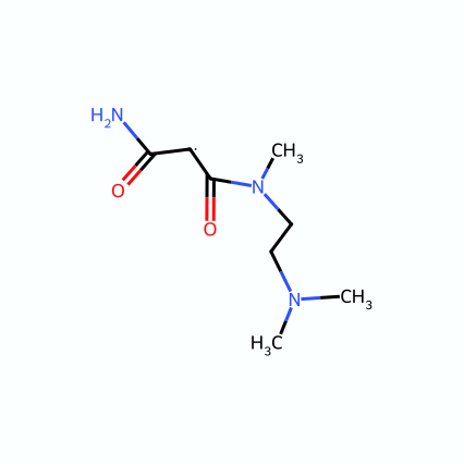 CN(C)CCN(C)C(=O)[CH]C(N)=O